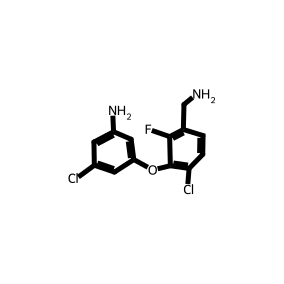 NCc1ccc(Cl)c(Oc2cc(N)cc(Cl)c2)c1F